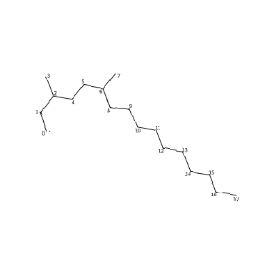 [CH2]CC(C)CCC(C)CCCCCCCCCC